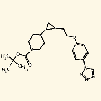 CC(C)(C)OC(=O)N1CCC([C@H]2C[C@H]2CCOc2ccc(-n3cnnn3)cc2)CC1